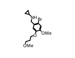 COCCCOc1cc(CNC2CC2)c(Br)cc1OC